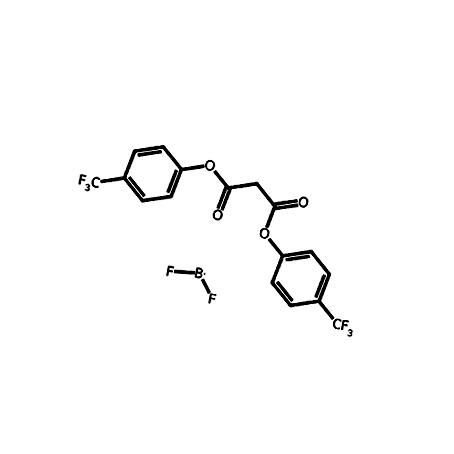 F[B]F.O=C(CC(=O)Oc1ccc(C(F)(F)F)cc1)Oc1ccc(C(F)(F)F)cc1